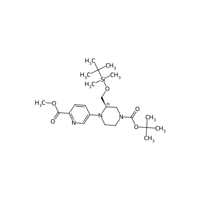 COC(=O)c1ccc(N2CCN(C(=O)OC(C)(C)C)C[C@@H]2CO[Si](C)(C)C(C)(C)C)cn1